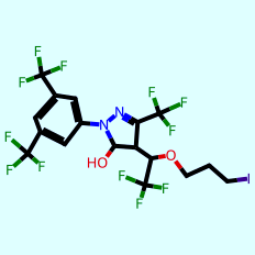 OC1C(C(OCCCI)C(F)(F)F)C(C(F)(F)F)=NN1c1cc(C(F)(F)F)cc(C(F)(F)F)c1